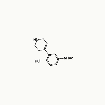 CC(=O)Nc1cccc(C2=CCNCC2)c1.Cl